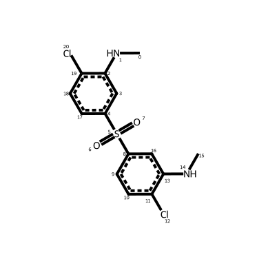 CNc1cc(S(=O)(=O)c2ccc(Cl)c(NC)c2)ccc1Cl